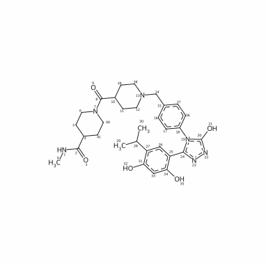 CNC(=O)C1CCN(C(=O)C2CCN(Cc3ccc(-n4c(O)nnc4-c4cc(C(C)C)c(O)cc4O)cc3)CC2)CC1